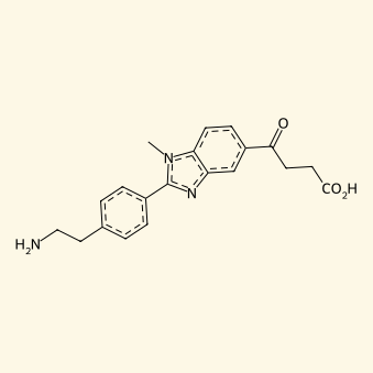 Cn1c(-c2ccc(CCN)cc2)nc2cc(C(=O)CCC(=O)O)ccc21